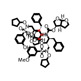 COc1cccc(S(=O)(=O)N(C[C@H](OC(=O)N[C@@H](Cc2ccccc2)[C@@H](O)CN(OC2CCCC2)S(=O)(=O)c2cccc(O)c2)[C@H](Cc2ccccc2)N(C(=O)O[C@H]2CO[C@H]3OCC[C@H]32)[C@H]2CO[C@H]3OCC[C@H]32)OC2CCCC2)c1